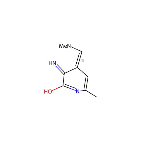 CN/C=C1/C=C(C)N=C(O)C1=N